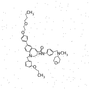 CCCCOCCOc1ccc(-c2ccc3c(c2)C=C(C(=O)Nc2ccc(CN(C)C4CCOCC4)cc2)CCN3Cc2cccc(OCCC)c2)cc1